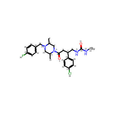 CC1CN(C(=O)CC(CNC(=O)NC(C)(C)C)c2ccc(Cl)cc2)C(C)CN1Cc1ccc(F)cc1